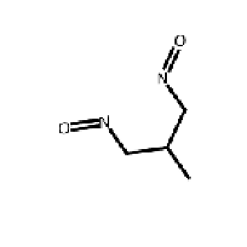 CC(CN=O)CN=O